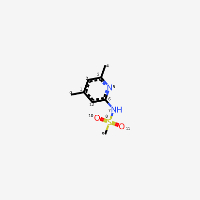 Cc1cc(C)nc(NS(C)(=O)=O)c1